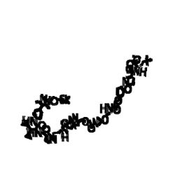 COC(=O)[C@H](CCC(C)(C)C)NC(=O)c1ccc(Oc2cccc(OCC(=O)NCCOC3CN(C(=O)COCc4cn(CC(=O)NCCCn5nccc5C(=O)N[C@H](C(=O)Nc5ccc(-c6c(C)nn(COCC[Si](C)(C)C)c6C)cc5)C(C5CC5)C5CC5)nn4)C3)c2)nc1